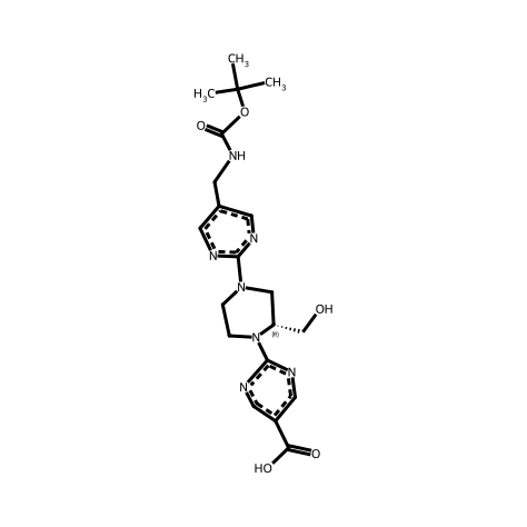 CC(C)(C)OC(=O)NCc1cnc(N2CCN(c3ncc(C(=O)O)cn3)[C@@H](CO)C2)nc1